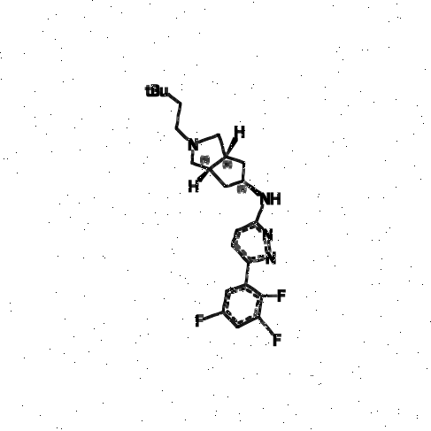 CC(C)(C)CCN1C[C@H]2C[C@H](Nc3ccc(-c4cc(F)cc(F)c4F)nn3)C[C@H]2C1